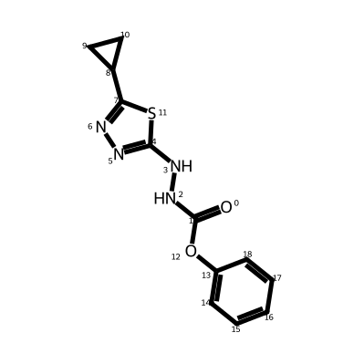 O=C(NNc1nnc(C2CC2)s1)Oc1ccccc1